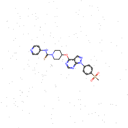 CS(=O)(=O)c1ccc(-n2ncc3c(OC4CCN(C(=S)Nc5ccncc5)CC4)ncnc32)cc1